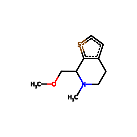 COCC1c2sccc2CCN1C